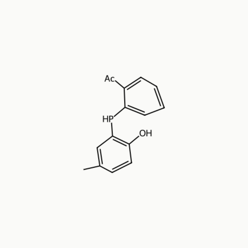 CC(=O)c1ccccc1Pc1cc(C)ccc1O